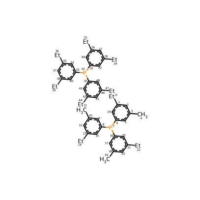 CCc1cc(C)cc(P(c2cc(C)cc(CC)c2)c2cc(C)cc(CC)c2)c1.CCc1cc(CC)cc(P(c2cc(CC)cc(CC)c2)c2cc(CC)cc(CC)c2)c1